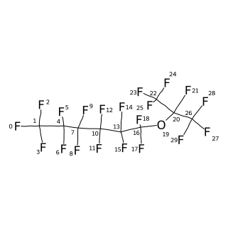 FC(F)(F)C(F)(F)C(F)(F)C(F)(F)C(F)(F)C(F)(F)OC(F)(C(F)(F)F)C(F)(F)F